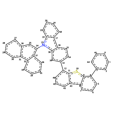 c1ccc(-c2cccc3c2sc2c(-c4ccc5c6ccccc6n(-c6cc7ccccc7c7ccccc67)c5c4)cccc23)cc1